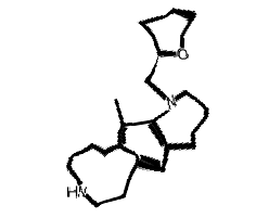 Cc1c2c(cc3c1N(C[C@H]1CCCO1)CCC3)CCNCC2